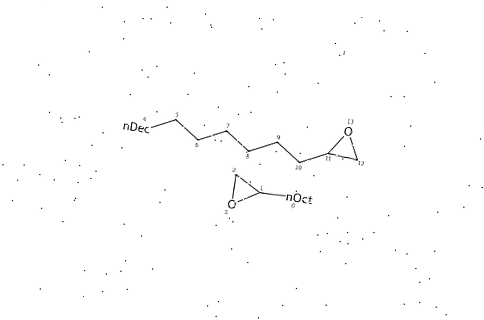 CCCCCCCCC1CO1.CCCCCCCCCCCCCCCCC1CO1